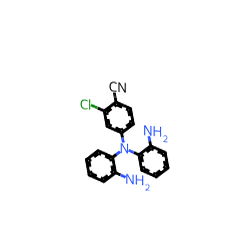 N#Cc1ccc(N(c2ccccc2N)c2ccccc2N)cc1Cl